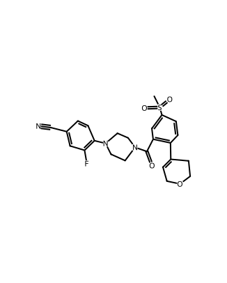 CS(=O)(=O)c1ccc(C2=CCOCC2)c(C(=O)N2CCN(c3ccc(C#N)cc3F)CC2)c1